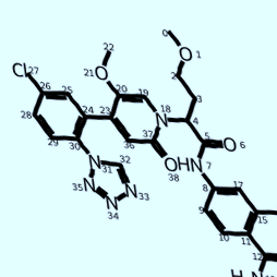 COCCC(C(=O)Nc1ccc(C(N)=O)c(F)c1)n1cc(OC)c(-c2cc(Cl)ccc2-n2cnnn2)cc1=O